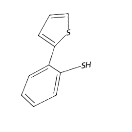 Sc1ccccc1-c1cccs1